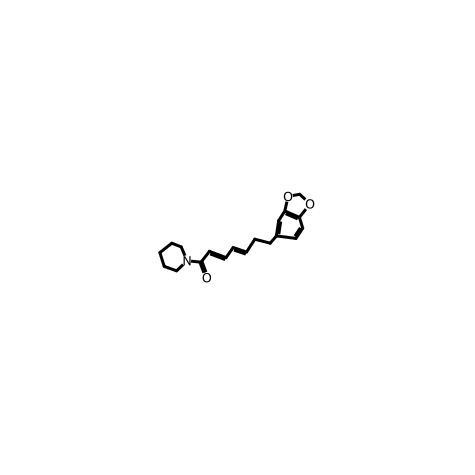 O=C(C=CC=CCCc1ccc2c(c1)OCO2)N1CCCCC1